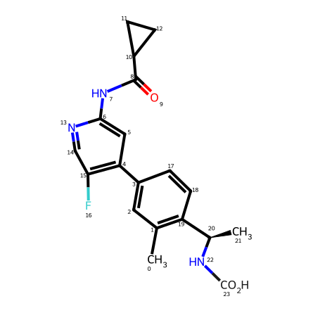 Cc1cc(-c2cc(NC(=O)C3CC3)ncc2F)ccc1[C@@H](C)NC(=O)O